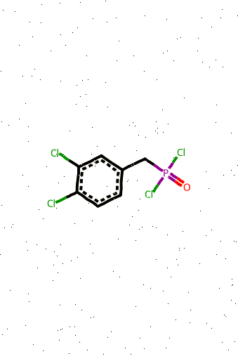 O=P(Cl)(Cl)Cc1ccc(Cl)c(Cl)c1